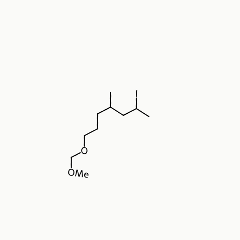 COCOCCCC(C)CC(C)I